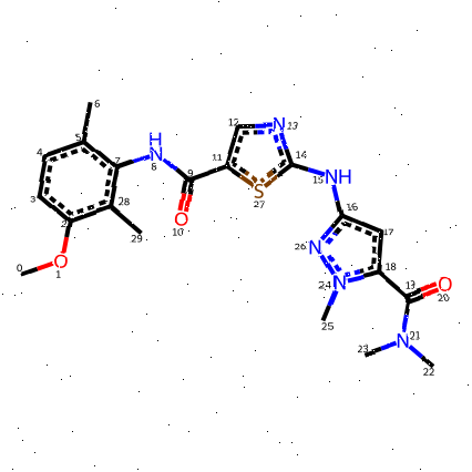 COc1ccc(C)c(NC(=O)c2cnc(Nc3cc(C(=O)N(C)C)n(C)n3)s2)c1C